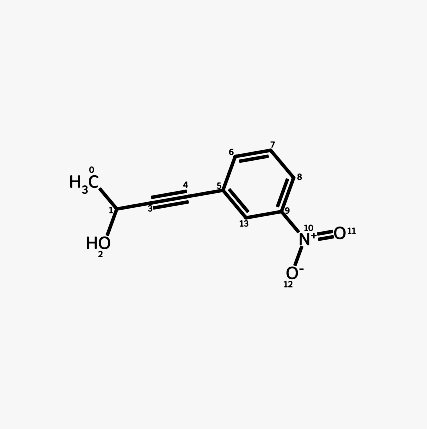 CC(O)C#Cc1cccc([N+](=O)[O-])c1